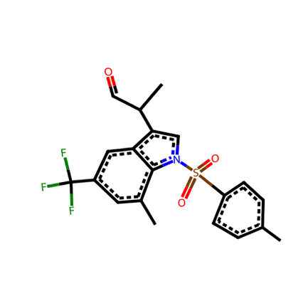 Cc1ccc(S(=O)(=O)n2cc(C(C)C=O)c3cc(C(F)(F)F)cc(C)c32)cc1